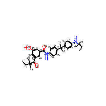 CCC(C)(C)Nc1ccc(C(C)(C)c2ccc(NC(=O)c3cc(O)cc(C(=O)C(C)(C)CC)c3)cc2)cc1